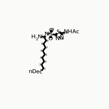 CCCCCCCCCCCCCCCCCCC/C(N)=N\S(=O)(=O)c1nnc(NC(C)=O)s1